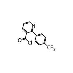 O=C(Cl)c1cccnc1-c1ccc(C(F)(F)F)cc1